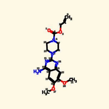 C=CCOC(=O)N1CCN(c2nc(N)c3cc(OC)c(OC)cc3n2)CC1